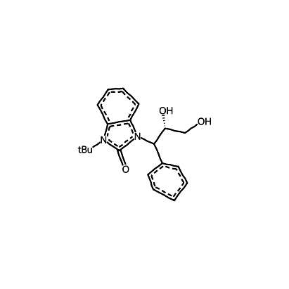 CC(C)(C)n1c(=O)n(C(c2ccccc2)[C@H](O)CO)c2ccccc21